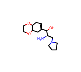 N[C@H](CN1CCCC1)[C@H](O)C1=CCC2OCCOC2C1